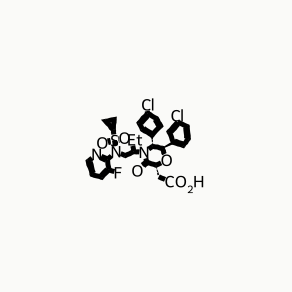 CCC(CN(c1ncccc1F)S(=O)(=O)C1CC1)N1C(=O)[C@@H](CC(=O)O)O[C@H](c2cccc(Cl)c2)[C@H]1c1ccc(Cl)cc1